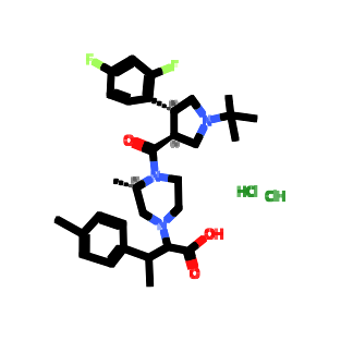 Cc1ccc(C(C)C(C(=O)O)N2CCN(C(=O)[C@@H]3CN(C(C)(C)C)C[C@H]3c3ccc(F)cc3F)[C@@H](C)C2)cc1.Cl.Cl